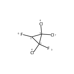 F[C]1C(F)(Cl)C1(Cl)Cl